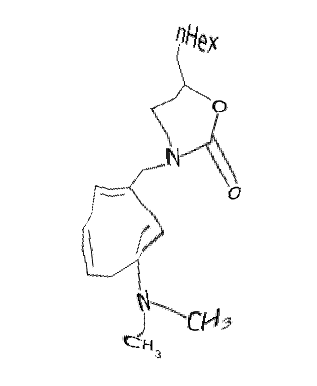 CCCCCCC1CN(c2cccc(N(C)C)c2)C(=O)O1